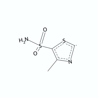 Cc1n[c]sc1S(N)(=O)=O